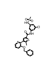 Cc1sc(C(=O)Nc2cc(Cl)cc(NS(C)(=O)=O)c2)cc1-c1ncccc1OCc1ccccc1